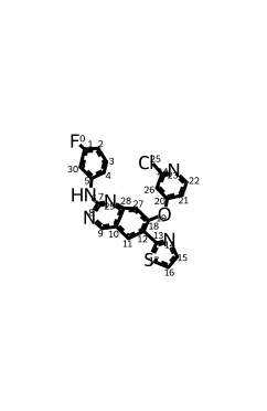 Fc1cccc(Nc2ncc3cc(-c4nccs4)c(Oc4ccnc(Cl)c4)cc3n2)c1